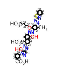 Cc1cc(N=Nc2ccc3c(S(=O)(=O)O)c(N=Nc4cnn(-c5cccc(C(=O)O)c5)c4O)ccc3c2O)c(OCCCS(=O)(=O)O)cc1N=Nc1nc2ccccc2s1